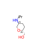 CC(C)N[C@H]1CC[C@H](CO)OC1